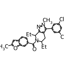 CCC1Cc2c(nn(C)c2-c2cc(Cl)cc(Cl)c2)C(CC)N1C(=O)c1ccc2cc(C)oc2c1